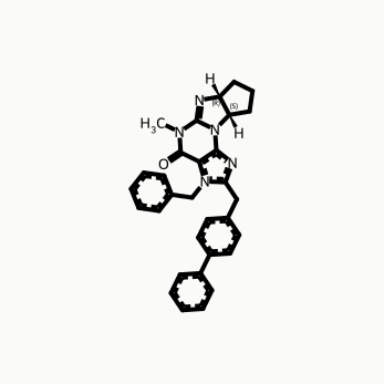 CN1C(=O)c2c(nc(Cc3ccc(-c4ccccc4)cc3)n2Cc2ccccc2)N2C1=N[C@@H]1CCC[C@@H]12